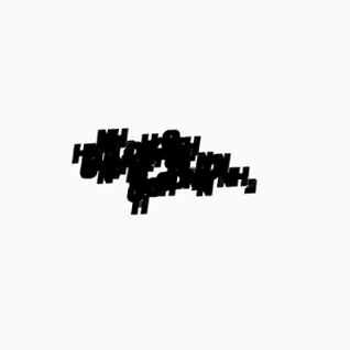 Nc1nc2c(ncn2[C@@H]2O[C@@H]3CO[P@@](=O)(S)O[C@H]4[C@@H](F)[C@H](n5cnc6c(N)ncnc65)O[C@@H]4CO[PH](=O)O[C@@H]2[C@@H]3F)c(=O)[nH]1